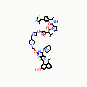 CCc1cccc2cc(O)cc(-c3ncc4c(N5CC6CCC(C5)N6)nc(OCCN5CCC(CN6CC(Oc7cc(C(C(=O)N8CCCC8C(=O)NC(C)c8ccc(-c9scnc9C)cc8)C(C)C)on7)C6)CC5)nc4c3F)c12